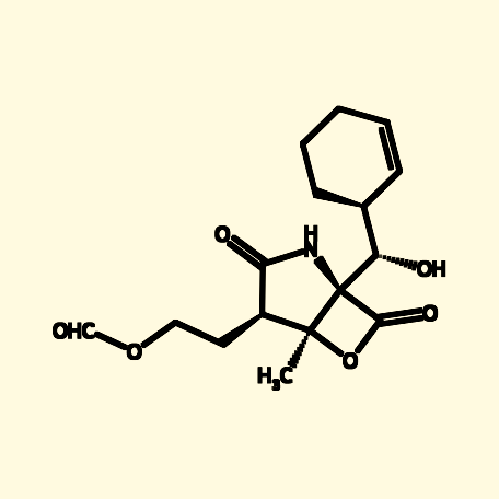 C[C@@]12OC(=O)[C@]1([C@@H](O)[C@@H]1C=CCCC1)NC(=O)[C@@H]2CCOC=O